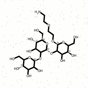 NCCOCCO[C@H]1OC(CO)[C@@H](O)C(O)C1O[C@H]1O[C@H](CO)[C@@H](O)C(O)C1O[C@@H]1OC(CO)[C@@H](O)C(O)C1O